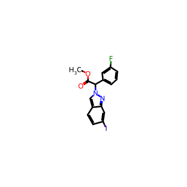 COC(=O)C(c1cccc(F)c1)n1cc2ccc(I)cc2n1